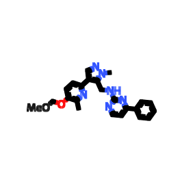 COCOc1ccc(-c2cnn(C)c2CNc2nccc(-c3ccccc3)n2)nc1C